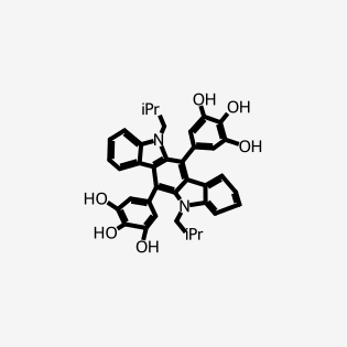 CC(C)Cn1c2ccccc2c2c(-c3cc(O)c(O)c(O)c3)c3c(c(-c4cc(O)c(O)c(O)c4)c21)c1ccccc1n3CC(C)C